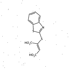 O=C(O)/C=C(/Sc1nc2ccccc2s1)C(=O)O